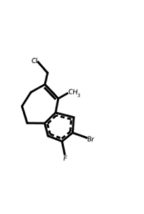 CC1=C(CCl)CCCc2cc(F)c(Br)cc21